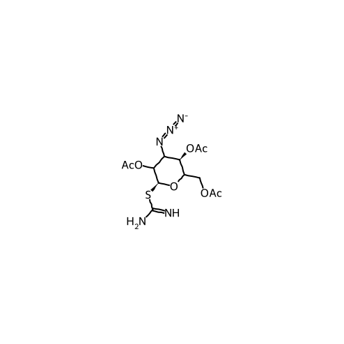 CC(=O)OCC1O[C@@H](SC(=N)N)C(OC(C)=O)C(N=[N+]=[N-])[C@H]1OC(C)=O